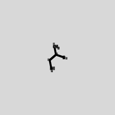 CC([S])CS